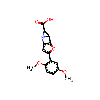 COc1ccc(OC)c(-c2cc3c(o2)C2C(C(=O)O)N32)c1